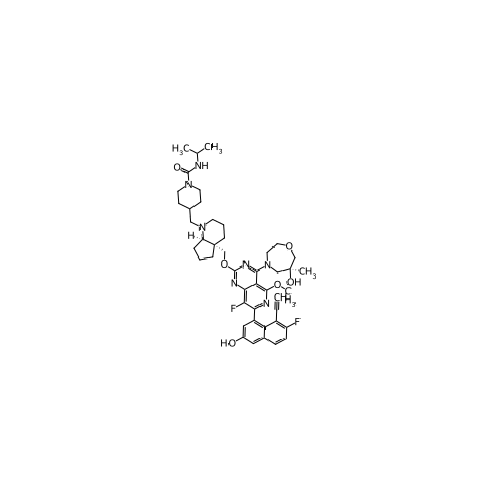 C#Cc1c(F)ccc2cc(O)cc(-c3nc(OC)c4c(N5CCOC[C@@](C)(O)C5)nc(OC[C@]56CCC[C@H]5N(CC5CCN(C(=O)NC(C)C)CC5)CCC6)nc4c3F)c12